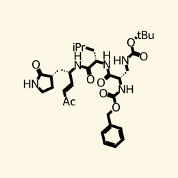 CC(=O)/C=C/[C@H](C[C@@H]1CCNC1=O)NC(=O)[C@H](CC(C)C)NC(=O)[C@H](CNC(=O)OC(C)(C)C)NC(=O)OCc1ccccc1